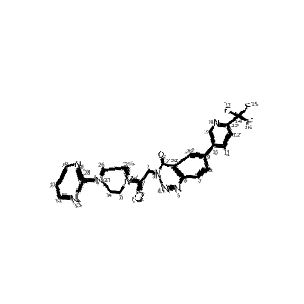 O=C(Cn1nnc2ccc(-c3ccc(C(F)(F)F)nc3)cc2c1=O)N1CCN(c2ncccn2)CC1